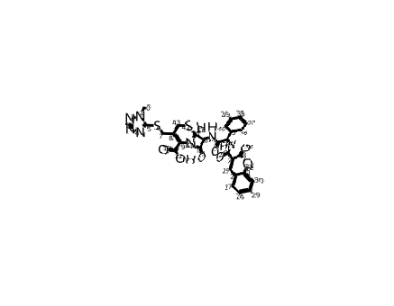 Cn1nnnc1SCC1=C(C(=O)O)N2C(=O)C(NC(=O)C(NC(=O)c3cc4ccccc4oc3=O)c3ccccc3)[C@@H]2SC1